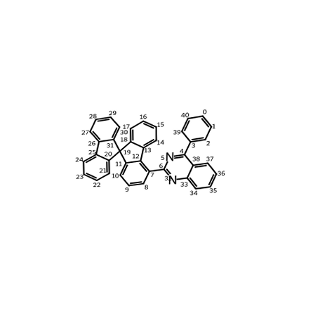 c1ccc(-c2nc(-c3cccc4c3-c3ccccc3C43c4ccccc4-c4ccccc43)nc3ccccc23)cc1